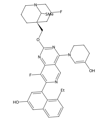 CCc1cccc2cc(O)cc(-c3ncc4c(N5C=C(O)CCC5)nc(OC[C@]56CCCN(CC(F)C5)C6SC)nc4c3F)c12